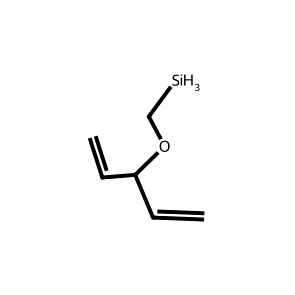 C=CC(C=C)OC[SiH3]